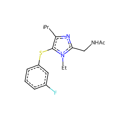 CCn1c(CNC(C)=O)nc(C(C)C)c1Sc1cccc(F)c1